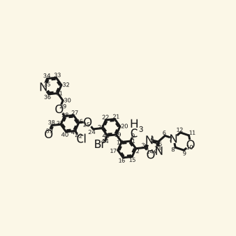 Cc1c(-c2nc(CN3CCOCC3)no2)cccc1-c1cccc(COc2cc(OCc3cccnc3)c(C=O)cc2Cl)c1Br